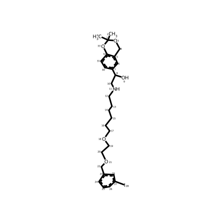 CC1(C)OCc2cc(C(O)CNCCCCCCOCCOCc3cccc(I)c3)ccc2O1